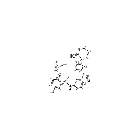 CC(Nc1ccn2ncc(-c3cnn(C4CCCCC4O)c3)c2n1)c1cc(F)ccc1OCC(F)F